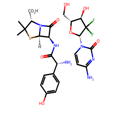 CC1(C)S[C@@H]2[C@H](NC(=O)[C@H](N)c3ccc(O)cc3)C(=O)N2[C@H]1C(=O)O.Nc1ccn([C@@H]2O[C@H](CO)[C@@H](O)C2(F)F)c(=O)n1